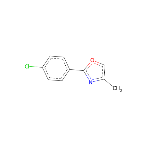 [CH2]c1coc(-c2ccc(Cl)cc2)n1